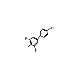 Cc1c(F)cc(-c2ccc(O)cc2)cc1F